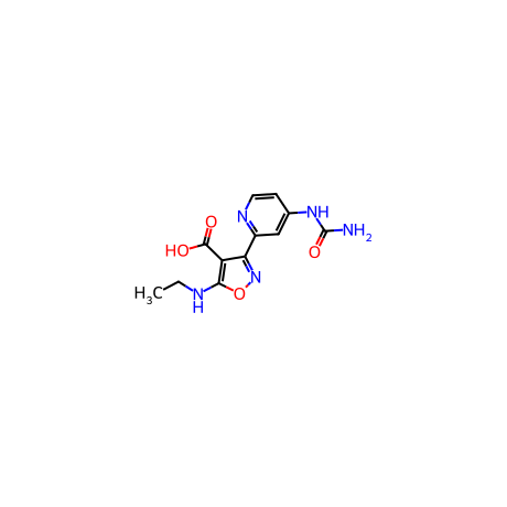 CCNc1onc(-c2cc(NC(N)=O)ccn2)c1C(=O)O